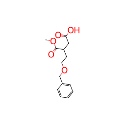 COC(=O)C(CCOCc1ccccc1)CC(=O)O